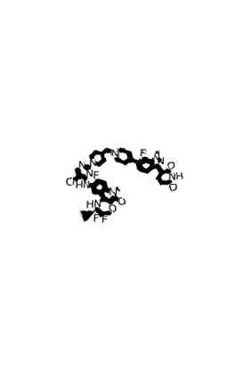 Cn1nc(C2CCC(=O)NC2=O)c2ccc(C3CCN(CC4CCN(c5ncc(Cl)c(Nc6cc7c8c(c(=O)n(C)c7cc6F)OCC(F)(F)[C@H](C6CC6)N8)n5)CC4)CC3)c(F)c21